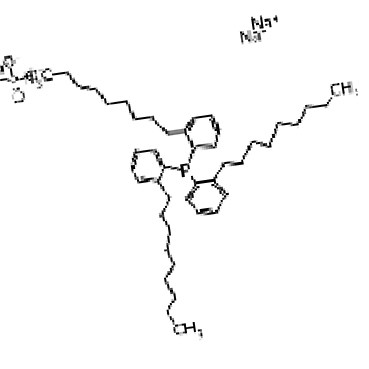 CCCCCCCCCc1ccccc1P(c1ccccc1CCCCCCCCC)c1ccccc1CCCCCCCCC.O=P([O-])([O-])[O-].[Na+].[Na+].[Na+]